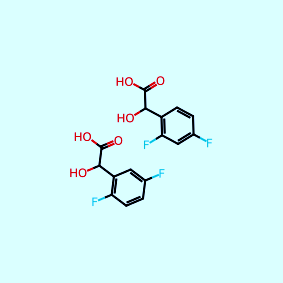 O=C(O)C(O)c1cc(F)ccc1F.O=C(O)C(O)c1ccc(F)cc1F